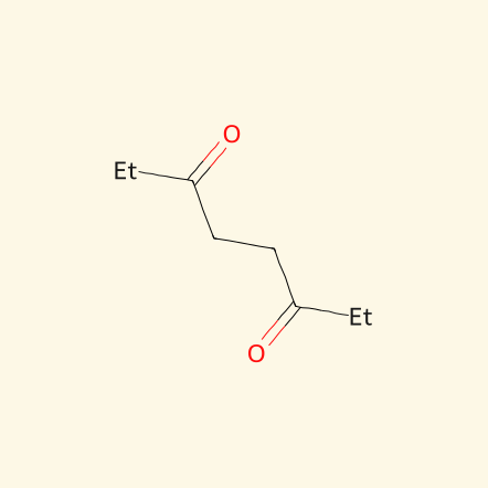 [CH2]CC(=O)CCC(=O)C[CH2]